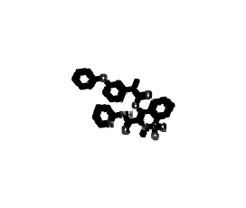 CC(C(=O)OC1=C(C(=O)Nc2ccccn2)N(C)S(=O)(=O)c2ccccc21)c1cccc(Oc2ccccc2)c1